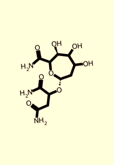 NC(=O)CC(O[C@H]1CC(O)C(O)[C@H](O)C(C(N)=O)O1)C(N)=O